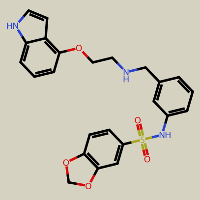 O=S(=O)(Nc1cccc(CNCCOc2cccc3[nH]ccc23)c1)c1ccc2c(c1)OCO2